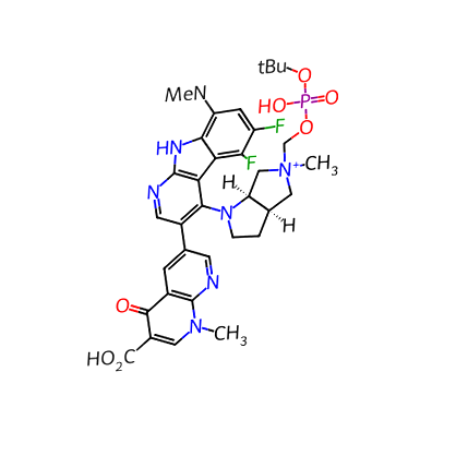 CNc1cc(F)c(F)c2c1[nH]c1ncc(-c3cnc4c(c3)c(=O)c(C(=O)O)cn4C)c(N3CC[C@@H]4C[N+](C)(COP(=O)(O)OC(C)(C)C)C[C@@H]43)c12